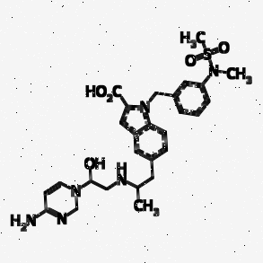 CC(Cc1ccc2c(c1)cc(C(=O)O)n2Cc1cccc(N(C)S(C)(=O)=O)c1)NCC(O)N1C=CC(N)=NC1